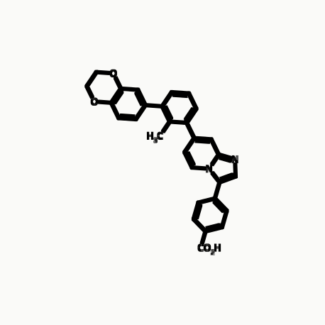 Cc1c(-c2ccc3c(c2)OCCO3)cccc1-c1ccn2c(-c3ccc(C(=O)O)cc3)cnc2c1